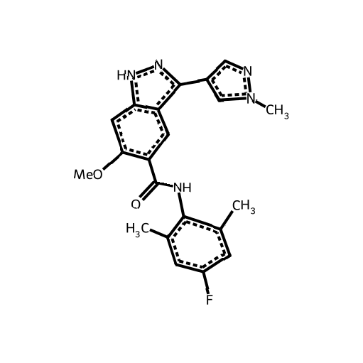 COc1cc2[nH]nc(-c3cnn(C)c3)c2cc1C(=O)Nc1c(C)cc(F)cc1C